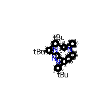 CC(C)(C)c1ccc2c(c1)c1cc3ccccc3c3c4cc5c(nc4n2c13)c1cc(C(C)(C)C)cc2c3cc(C(C)(C)C)cc(-c4ccc6c(c4)c4ccccc4n6-c4ccccc4)c3n5c21